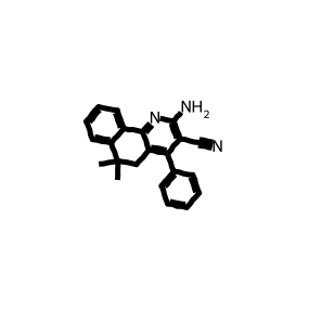 CC1(C)Cc2c(nc(N)c(C#N)c2-c2ccccc2)-c2ccccc21